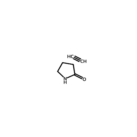 C#C.O=C1CCCN1